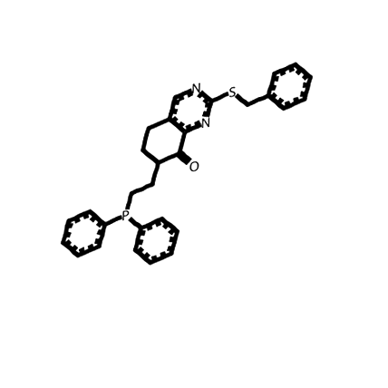 O=C1c2nc(SCc3ccccc3)ncc2CCC1CCP(c1ccccc1)c1ccccc1